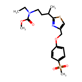 CCN(CCC(C)c1nc(COc2ccc(S(C)(=O)=O)cc2)cs1)C(=O)OC